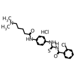 CN(C)CCCCC(=O)Nc1ccc(NC(=S)NC(=O)c2ccccc2Cl)cc1.Cl